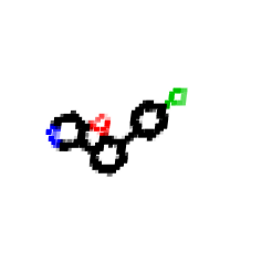 Clc1ccc(-c2cccc3c2oc2ccncc23)cc1